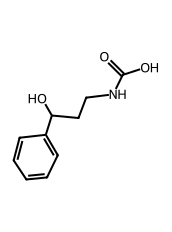 O=C(O)NCCC(O)c1ccccc1